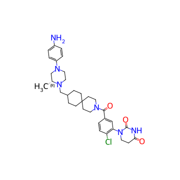 C[C@@H]1CN(c2ccc(N)cc2)CCN1CC1CCC2(CC1)CCN(C(=O)c1ccc(Cl)c(N3CCC(=O)NC3=O)c1)CC2